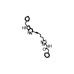 O=C(Cc1ccccc1)Nc1nnc(CCCC#Cc2cc3cc(Cc4ccccc4)[nH]c3nn2)s1